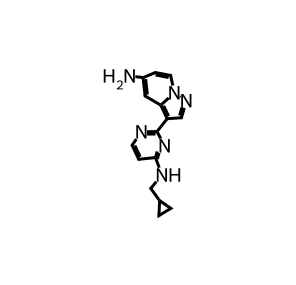 Nc1ccn2ncc(-c3nccc(NCC4CC4)n3)c2c1